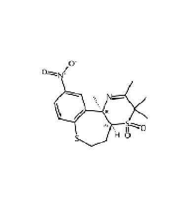 CC1=N[C@]2(C)c3cc([N+](=O)[O-])ccc3SCC[C@@H]2S(=O)(=O)C1(C)C